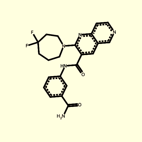 NC(=O)c1cccc(NC(=O)c2cc3cnccc3nc2N2CCCC(F)(F)CC2)c1